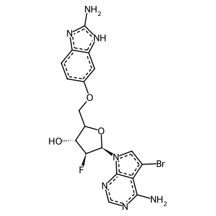 Nc1nc2ccc(OCC3O[C@@H](n4cc(Br)c5c(N)ncnc54)[C@@H](F)[C@@H]3O)cc2[nH]1